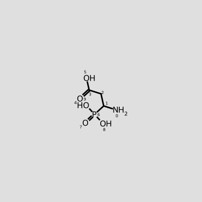 NC(CC(=O)O)P(=O)(O)O